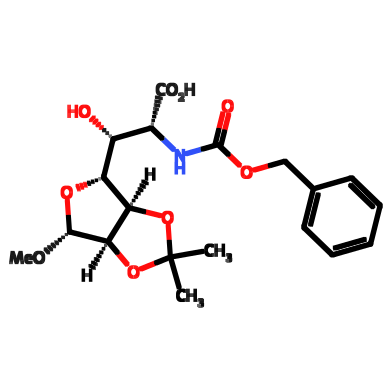 CO[C@@H]1O[C@H]([C@H](O)[C@@H](NC(=O)OCc2ccccc2)C(=O)O)[C@H]2OC(C)(C)O[C@@H]12